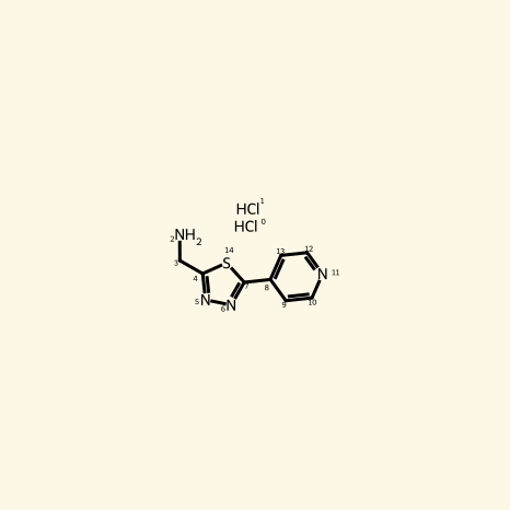 Cl.Cl.NCc1nnc(-c2ccncc2)s1